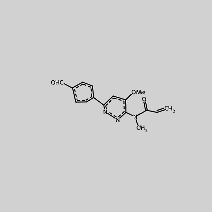 C=CC(=O)N(C)c1nnc(-c2ccc(C=O)cc2)cc1OC